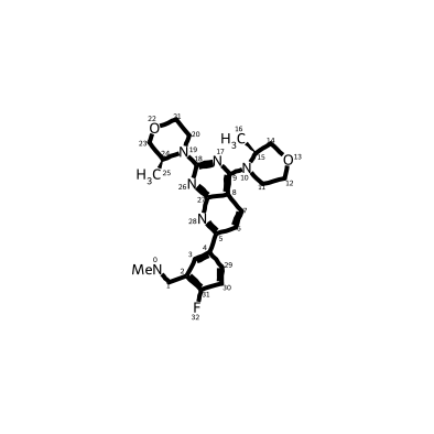 CNCc1cc(-c2ccc3c(N4CCOC[C@@H]4C)nc(N4CCOC[C@@H]4C)nc3n2)ccc1F